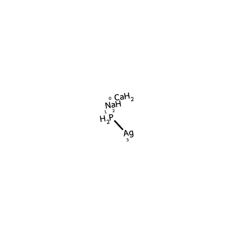 [CaH2].[NaH].[PH2][Ag]